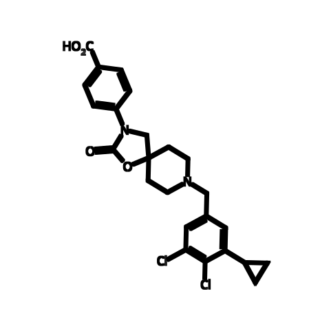 O=C(O)c1ccc(N2CC3(CCN(Cc4cc(Cl)c(Cl)c(C5CC5)c4)CC3)OC2=O)cc1